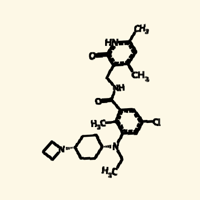 CCN(c1cc(Cl)cc(C(=O)NCc2c(C)cc(C)[nH]c2=O)c1C)[C@H]1CC[C@@H](N2CCC2)CC1